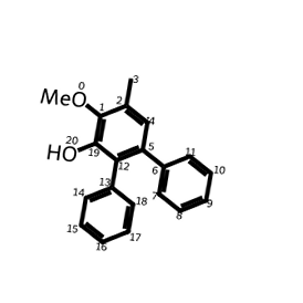 COc1c(C)[c]c(-c2ccccc2)c(-c2ccccc2)c1O